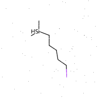 C[SiH](C)CCCCCI